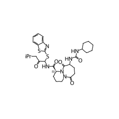 CC(C)CC(=O)C(NC(=O)[C@@H]1CCCN2C(=O)CCC(NC(=O)NC3CCCCC3)C(=O)N12)Sc1nc2ccccc2s1